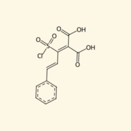 O=C(O)C(C(=O)O)=C(C=Cc1ccccc1)S(=O)(=O)Cl